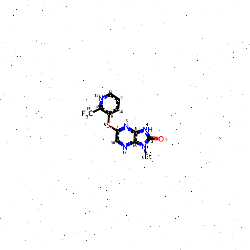 CCn1c(=O)[nH]c2nc(Sc3cccnc3C(F)(F)F)cnc21